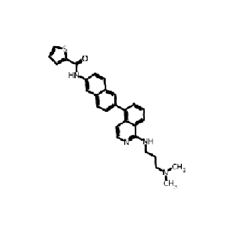 CN(C)CCCNc1nccc2c(-c3ccc4cc(NC(=O)c5cccs5)ccc4c3)cccc12